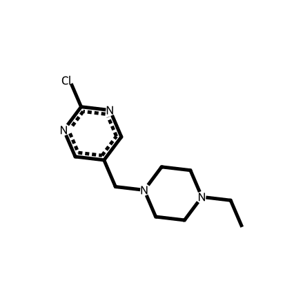 CCN1CCN(Cc2cnc(Cl)nc2)CC1